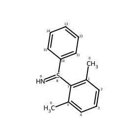 Cc1cccc(C)c1S(=N)c1ccccc1